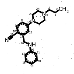 CCCN1CCN(c2ccc(C#N)c(CNc3ccccc3)c2)CC1